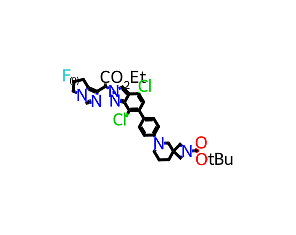 CCOC(=O)C(c1ncn2c1C[C@@H](F)C2)n1cc2c(Cl)cc(-c3ccc(N4CCCC5(CN(C(=O)OC(C)(C)C)C5)C4)cc3)c(Cl)c2n1